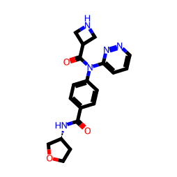 O=C(N[C@@H]1CCOC1)c1ccc(N(C(=O)C2CNC2)c2cccnn2)cc1